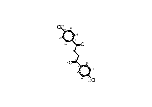 O=C([CH]CC(=O)c1ccc(Cl)cc1)c1ccc(Cl)cc1